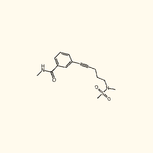 CNC(=O)c1cccc(C#CCCCN(C)S(C)(=O)=O)c1